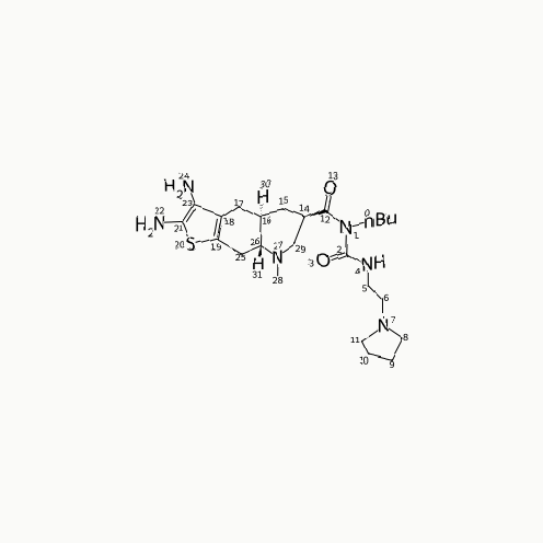 CCCCN(C(=O)NCCN1CCCC1)C(=O)[C@@H]1C[C@@H]2Cc3c(sc(N)c3N)C[C@H]2N(C)C1